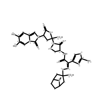 CN1C2CCC1CC(O/N=C(\C(=O)N[C@H]1CON(C3(C(=O)O)CC(n4cc5cc(O)c(O)cn5c4=O)C(=O)O3)C1=O)c1csc(N)n1)(C(=O)O)C2